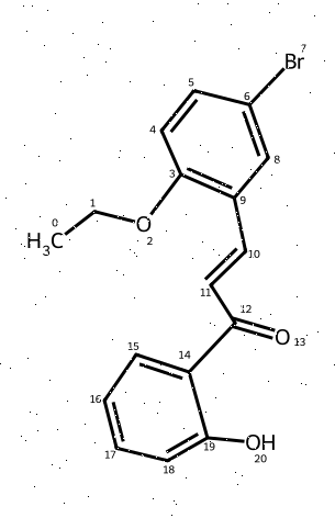 CCOc1ccc(Br)cc1C=CC(=O)c1ccccc1O